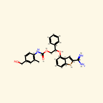 Cc1cc(CO)ccc1NC(=O)OCC(Oc1cccc2sc(C(=N)N)cc12)c1ccccc1